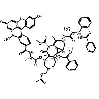 COC(=O)[C@H]1C(=O)[C@]2(C)[C@@H](OC(=O)[C@H](C)NC(=O)c3ccc(-c4c5ccc(=O)cc-5oc5cc(O)ccc45)c(C(=O)O)c3)C[C@H](COC(C)=O)OC[C@H]2[C@@]2(OC(=O)c3ccccc3)[C@]3(O)C[C@H](OC(=O)[C@H](O)[C@@H](NC(=O)c4ccccc4)c4ccccc4)C(C)=C1[C@@]32C